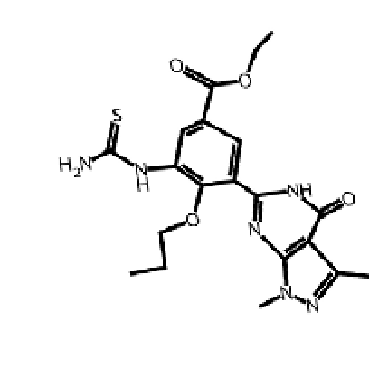 CCCOc1c(NC(N)=S)cc(C(=O)OCC)cc1-c1nc2c(c(C)nn2C)c(=O)[nH]1